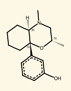 C[C@H]1CN(C)[C@@H]2CCCC[C@@]2(c2cccc(O)c2)O1